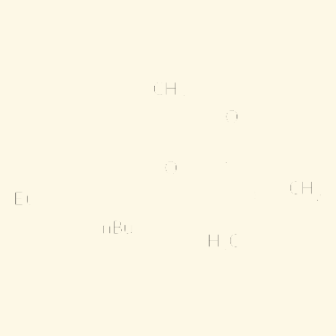 C=C(C)C(=O)OC(C)CC(CC)CCCC